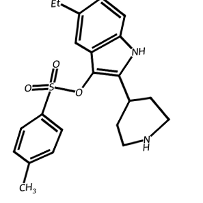 CCc1ccc2[nH]c(C3CCNCC3)c(OS(=O)(=O)c3ccc(C)cc3)c2c1